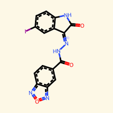 O=C1Nc2ccc(I)cc2/C1=N\NC(=O)c1ccc2nonc2c1